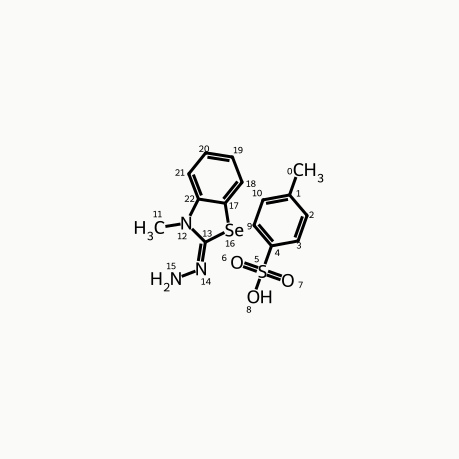 Cc1ccc(S(=O)(=O)O)cc1.Cn1c(=NN)[se]c2ccccc21